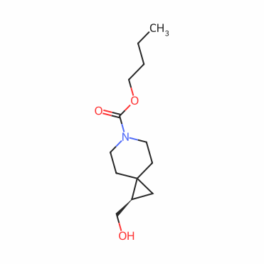 CCCCOC(=O)N1CCC2(CC1)C[C@H]2CO